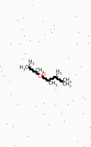 CC(C)=CCCC(C)=CCCC(C)=CCCC(=O)OC/C=C(\C)CCC=C(C)C